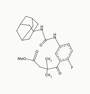 COC(=O)CC(C)(C)C(=O)c1cc(NC(=O)NC23CC4CC(CC(C4)C2)C3)ccc1F